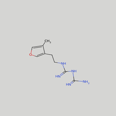 Cc1cocc1CCNC(=N)NC(=N)N